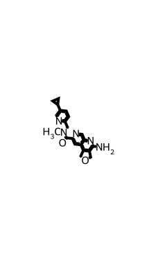 CN(Cc1ccc(C2CC2)cn1)C(=O)c1cc2c3c(c(N)nc2cn1)COC3